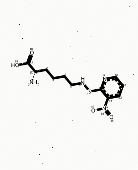 N[C@@H](CCCCNSc1ncccc1[N+](=O)[O-])C(=O)O